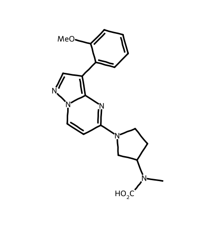 COc1ccccc1-c1cnn2ccc(N3CCC(N(C)C(=O)O)C3)nc12